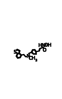 CN(CCc1cccc2sccc12)Cc1ccc(/C=C/C(=O)NO)cc1